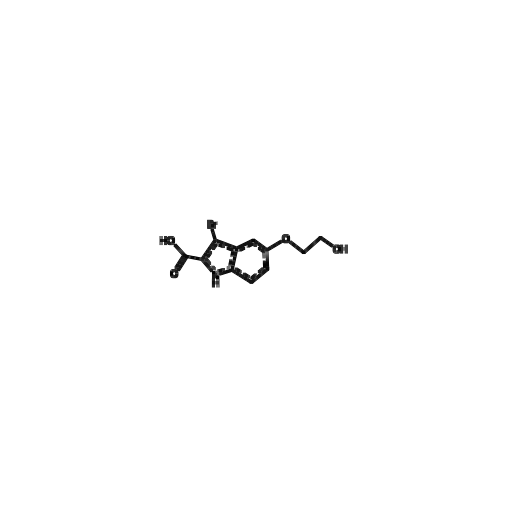 O=C(O)c1[nH]c2ccc(OCCO)cc2c1Br